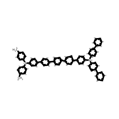 Cc1ccc(N(c2ccc(C)cc2)c2ccc(-c3ccc(-c4ccc(-c5ccc(-c6ccc(N(c7ccc(-c8ccccc8)cc7)c7ccc(-c8ccccc8)cc7)cc6)cc5)cc4)cc3)cc2)cc1